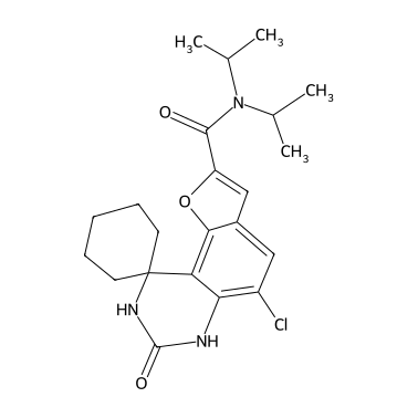 CC(C)N(C(=O)c1cc2cc(Cl)c3c(c2o1)C1(CCCCC1)NC(=O)N3)C(C)C